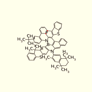 Cc1cc2c(cc1N1c3cc4c(cc3B3c5c1cc1ccccc1c5-c1c(ccc5c1sc1ccccc15)N3c1ccc(C(C)(C)C)cc1-c1ccccc1)C(C)(C)c1ccccc1S4)C(C)(C)CCC2(C)C